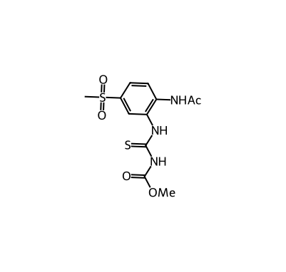 COC(=O)NC(=S)Nc1cc(S(C)(=O)=O)ccc1NC(C)=O